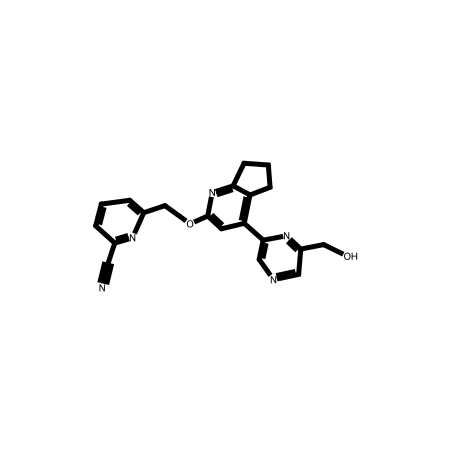 N#Cc1cccc(COc2cc(-c3cncc(CO)n3)c3c(n2)CCC3)n1